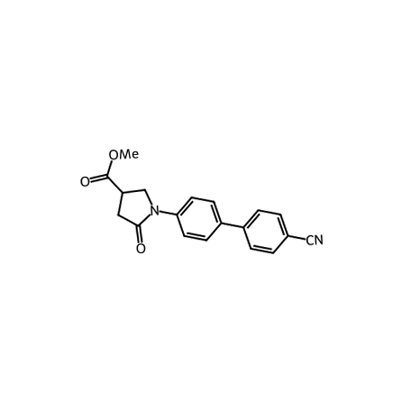 COC(=O)C1CC(=O)N(c2ccc(-c3ccc(C#N)cc3)cc2)C1